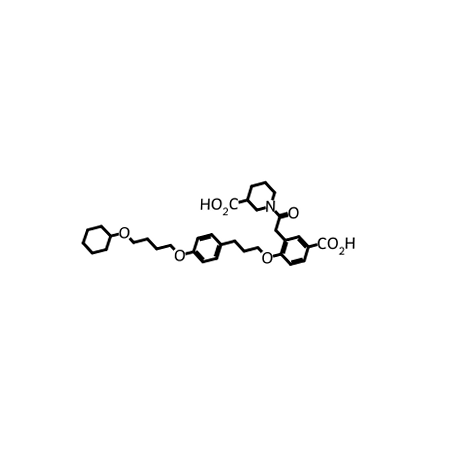 O=C(O)c1ccc(OCCCc2ccc(OCCCCOC3CCCCC3)cc2)c(CC(=O)N2CCCC(C(=O)O)C2)c1